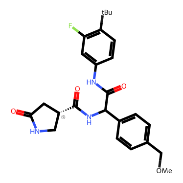 COCc1ccc(C(NC(=O)[C@@H]2CNC(=O)C2)C(=O)Nc2ccc(C(C)(C)C)c(F)c2)cc1